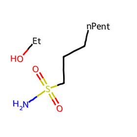 CCCCCCCCS(N)(=O)=O.CCO